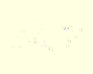 CCn1c(-c2cccnc2[C@H](C)OC)c2c3cc(ccc31)-c1cc(O)cc(c1)C[C@H](NC(=O)C(C(C)C)N(C)C(=O)[C@H]1C[C@@H]1N)C(=O)N1CCC[C@H](N1)C(=O)OCC(C)(C)C2